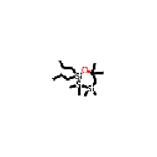 CCC[Si]1(CCC)OC(C)(C)C[Si](C)(C)[Si]1(C)C